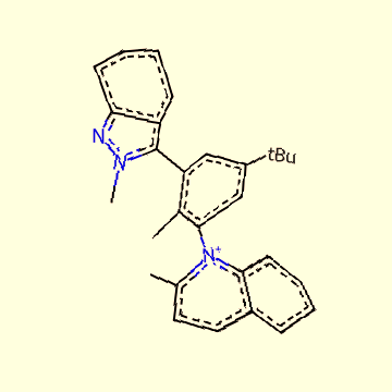 Cc1c(-c2c3ccccc3nn2C)cc(C(C)(C)C)cc1-[n+]1c(C)ccc2ccccc21